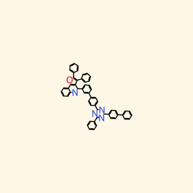 c1ccc(-c2ccc(-c3nc(-c4ccccc4)nc(-c4ccc(-c5cccc(-c6nc7ccccc7c7oc(-c8ccccc8)c(-c8ccccc8)c67)c5)cc4)n3)cc2)cc1